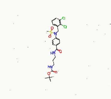 CC(C)(C)OC(=O)NCCCNC(=O)c1ccc(N(Cc2cccc(Cl)c2Cl)S(C)(=O)=O)cc1